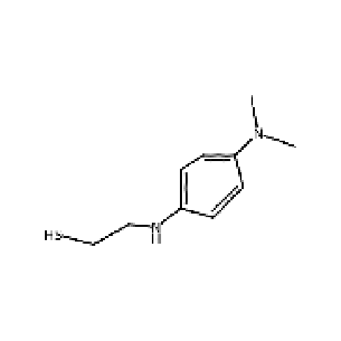 CN(I)c1ccc(NCCS)cc1